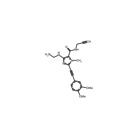 C#CCNC(=O)c1c(NCN)nc(C#Cc2ccc(OC)c(OC)c2)n1C